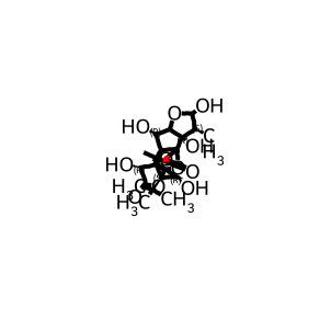 C[C@@H]1C(O)OC2[C@H](O)C34C5OC(=O)C3(OC3OC(=O)[C@H](O)C34[C@H](C(C)(C)C)[C@H]5O)[C@]21O